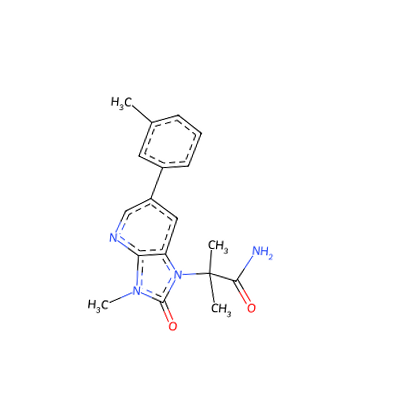 Cc1cccc(-c2cnc3c(c2)n(C(C)(C)C(N)=O)c(=O)n3C)c1